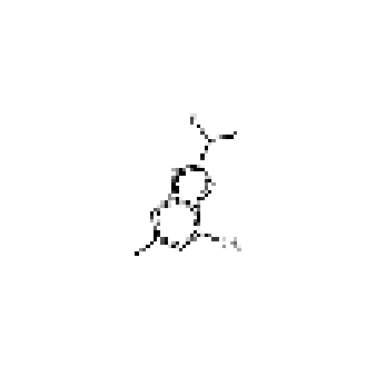 Cc1cc(I)cn2nc(C(F)F)nc12